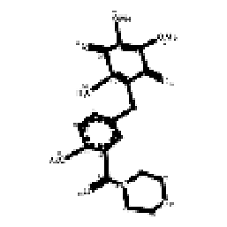 COC1=C(OC)C(=O)C(Cc2ccc(OC(C)=O)c(C(=O)N3CCOCC3)c2)=C(C)C1=O